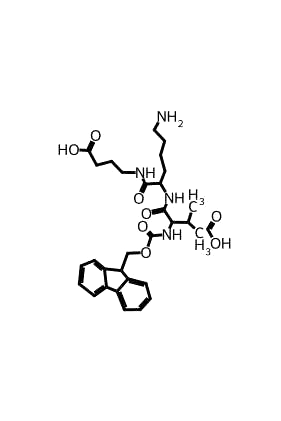 CC(C)C(NC(=O)OCC1c2ccccc2-c2ccccc21)C(=O)NC(CCCCN)C(=O)NCCCC(=O)O.O=CO